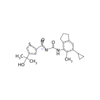 Cc1c(C2CC2)cc2c(c1NC(=O)/N=[SH](=O)/c1cc(C(C)(C)O)cs1)CCC2